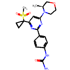 C[C@H]1COCCN1c1cc(C2(S(C)(=O)=O)CC2)nc(-c2ccc(NC(N)=O)cc2)n1